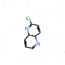 ClC1=NC2C=CC=NC2C=C1